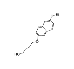 CCOc1ccc2cc(OCCCCO)ccc2c1